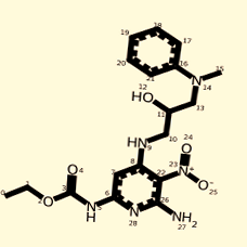 CCOC(=O)Nc1cc(NCC(O)CN(C)c2ccccc2)c([N+](=O)[O-])c(N)n1